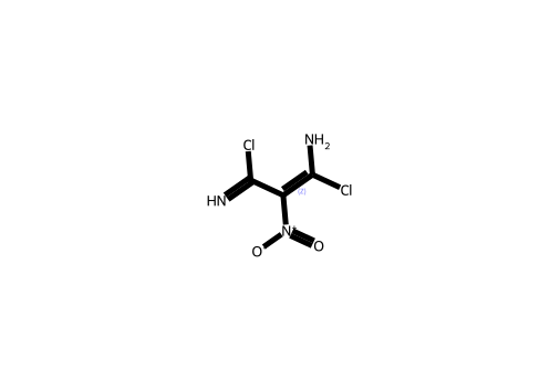 N=C(Cl)/C(=C(\N)Cl)[N+](=O)[O-]